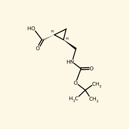 CC(C)(C)OC(=O)NC[C@@H]1C[C@H]1C(=O)O